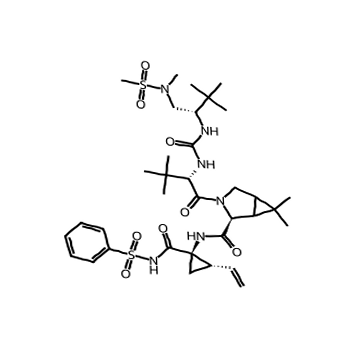 C=C[C@@H]1C[C@]1(NC(=O)[C@@H]1C2C(CN1C(=O)[C@@H](NC(=O)N[C@H](CN(C)S(C)(=O)=O)C(C)(C)C)C(C)(C)C)C2(C)C)C(=O)NS(=O)(=O)c1ccccc1